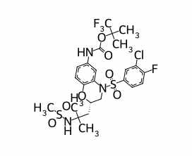 CC(C)(C[C@H]1CN(S(=O)(=O)c2ccc(F)c(Cl)c2)c2cc(NC(=O)OC(C)(C)C(F)(F)F)ccc2O1)NS(C)(=O)=O